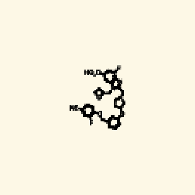 N#Cc1ccc(OCc2cccc(O[C@H]3CCN(Cc4nc5c(F)cc(C(=O)O)cc5n4C[C@@H]4CCO4)C3)c2)c(F)c1